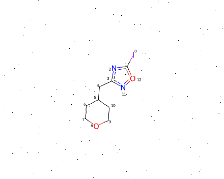 Ic1nc(CC2CCOCC2)no1